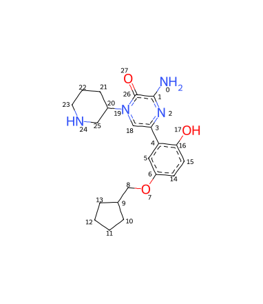 Nc1nc(-c2cc(OCC3CCCC3)ccc2O)cn(C2CCCNC2)c1=O